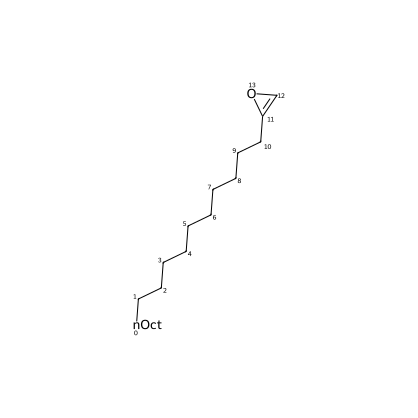 CCCCCCCCCCCCCCCCCCC1=CO1